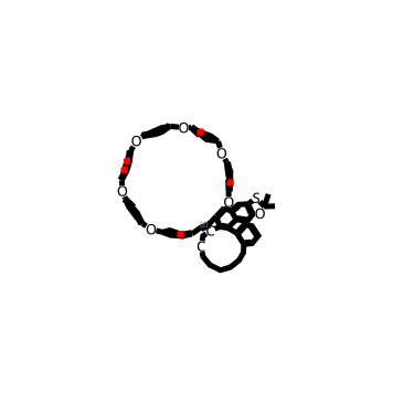 CC1(C)Oc2cc3c4c(c5c(c3cc2S1)Oc1ccc(cc1)Oc1ccc(cc1)Oc1ccc(cc1)Oc1ccc(cc1)Oc1ccc(cc1)Oc1ccc(cc1)/C=C\5)CCCCCCCCCc1ccccc1-4